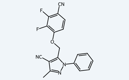 Cc1nn(-c2ccccc2)c(COc2ccc(C#N)c(F)c2F)c1C#N